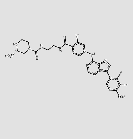 CCc1cc(Nc2nccn3c(-c4ccc(OC)c(F)c4F)cnc23)ccc1C(=O)NCCNC(=O)N1CCN[C@@H](C(=O)O)C1